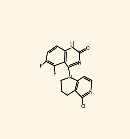 O=c1nc(N2CCCc3c2ccnc3Cl)c2c(F)c(F)ccc2[nH]1